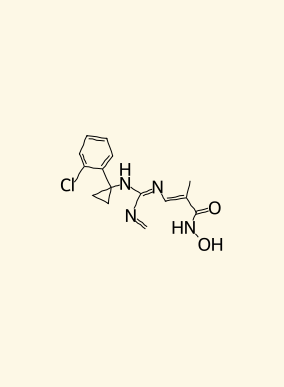 C=N/C(=N\C=C(/C)C(=O)NO)NC1(c2ccccc2Cl)CC1